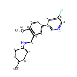 CCC1CCC(NCc2cc(-c3cncc(F)c3)ccc2OC)CC1